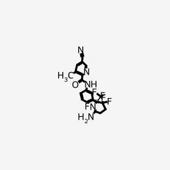 Cc1cc(C#N)cnc1C(=O)Nc1ccc(F)c([C@@]2(C(F)F)N=C(N)CCC2(F)F)c1